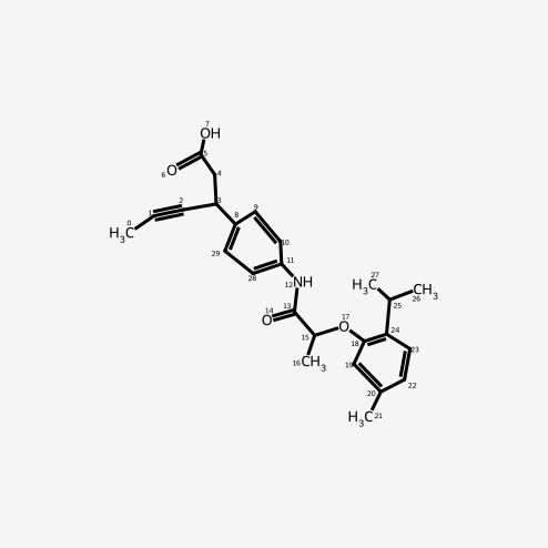 CC#CC(CC(=O)O)c1ccc(NC(=O)C(C)Oc2cc(C)ccc2C(C)C)cc1